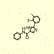 Cc1cccc(-c2ncc(C(=O)Nc3ccccc3)[nH]2)c1F